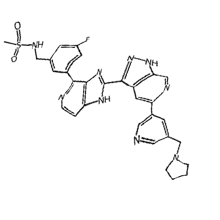 CS(=O)(=O)NCc1cc(F)cc(-c2nccc3[nH]c(-c4n[nH]c5cnc(-c6cncc(CN7CCCC7)c6)cc45)nc23)c1